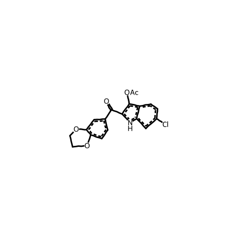 CC(=O)Oc1c(C(=O)c2ccc3c(c2)OCCO3)[nH]c2cc(Cl)ccc12